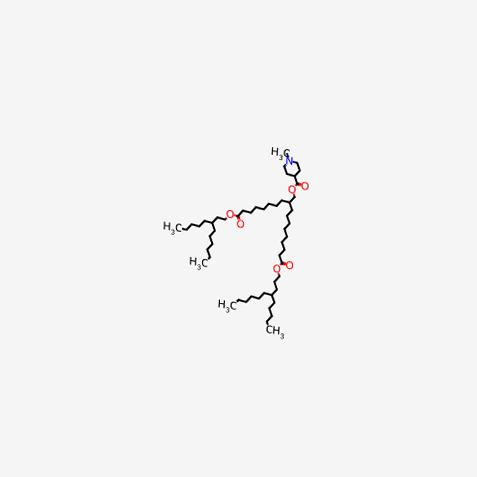 CCCCCCC(CCCCC)CCCOC(=O)CCCCCCCCC(CCCCCCCC(=O)OCCC(CCCCC)CCCCCC)COC(=O)C1CCN(C)CC1